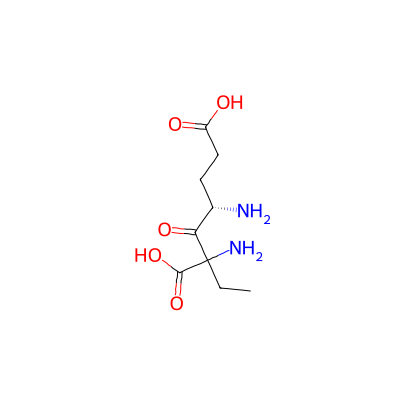 CCC(N)(C(=O)O)C(=O)[C@@H](N)CCC(=O)O